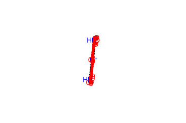 O=C(CCCCCCCCCCCO[N+](=O)OCCCCCCCCCCCC(=O)CC(=O)NC1CCOC1=O)CC(=O)NC1CCOC1=O